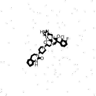 O=C(Cn1cc(-c2cccc(F)c2Cl)c(=O)n(Cc2nn[nH]n2)c1=O)N1CCC(N2CCc3ccccc3NC2=O)CC1